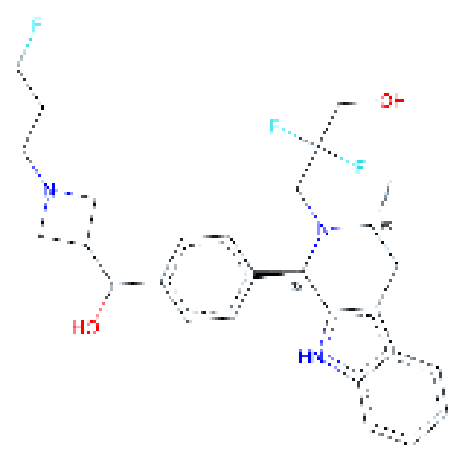 C[C@@H]1Cc2c([nH]c3ccccc23)[C@@H](c2ccc(C(O)C3CN(CCCF)C3)cc2)N1CC(F)(F)CO